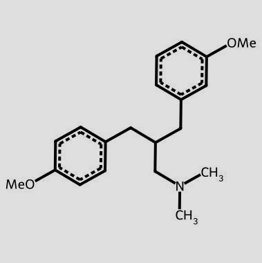 COc1ccc(CC(Cc2cccc(OC)c2)CN(C)C)cc1